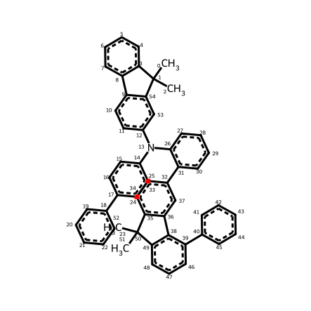 CC1(C)c2ccccc2-c2ccc(N(c3ccc(-c4ccccc4)cc3)c3ccccc3-c3ccc4c(c3)-c3c(-c5ccccc5)cccc3C4(C)C)cc21